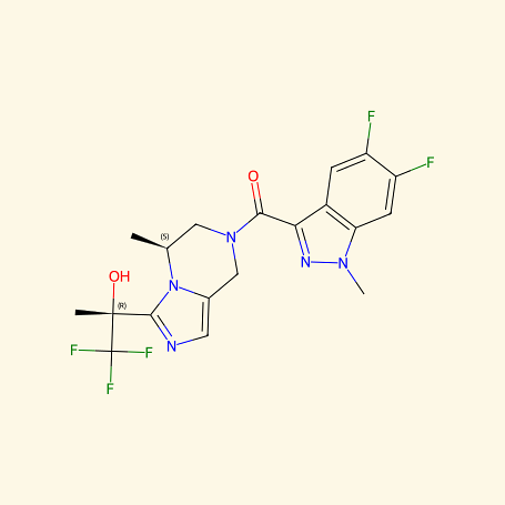 C[C@H]1CN(C(=O)c2nn(C)c3cc(F)c(F)cc23)Cc2cnc([C@@](C)(O)C(F)(F)F)n21